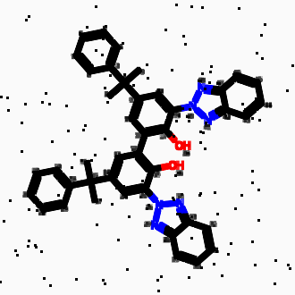 CC(C)(c1ccccc1)c1cc(-c2cc(C(C)(C)c3ccccc3)cc(-n3nc4ccccc4n3)c2O)c(O)c(-n2nc3ccccc3n2)c1